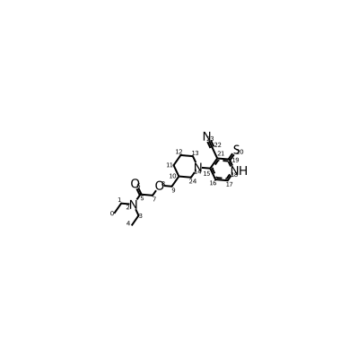 CCN(CC)C(=O)COCC1CCCN(c2cc[nH]c(=S)c2C#N)C1